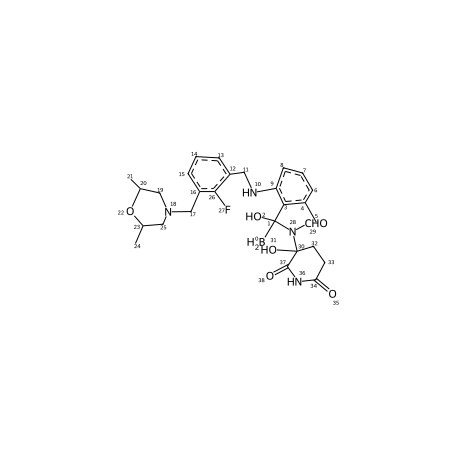 BC(O)(c1c(C)cccc1NCc1cccc(CN2CC(C)OC(C)C2)c1F)N(C=O)C1(O)CCC(=O)NC1=O